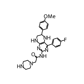 COc1ccc(C2CNc3nc(NC(=O)CN4CCNCC4)nc(-c4ccc(F)cc4)c3N2)cc1